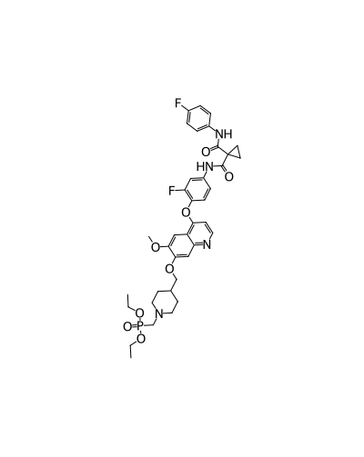 CCOP(=O)(CN1CCC(COc2cc3nccc(Oc4ccc(NC(=O)C5(C(=O)Nc6ccc(F)cc6)CC5)cc4F)c3cc2OC)CC1)OCC